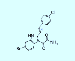 NC(=O)C(=O)c1c(/C=C/c2ccc(Cl)cc2)[nH]c2cc(Br)ccc12